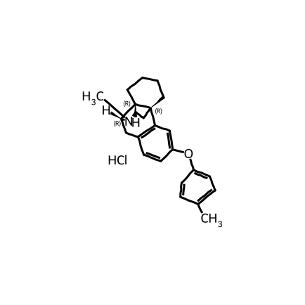 Cc1ccc(Oc2ccc3c(c2)[C@@]24CCCC[C@H]2[C@@H](C3)N(C)CC4)cc1.Cl